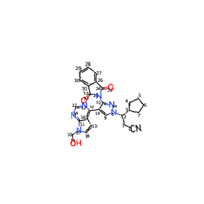 N#CCC(C1CCCC1)n1cc(-c2ncnc3c2ccn3CO)c(N2C(=O)c3ccccc3C2=O)n1